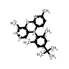 Cc1ccc2c(n1)Oc1c(cnnc1C)N2c1c(C)cc(C(C)(C)C)cc1C